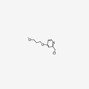 COCCCOc1ccnc(CCl)c1